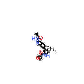 Cc1ccc(NC(=O)[C@H]2CCOC2)cc1-c1ccc2cc(NC(=O)C3CC3)ncc2c1